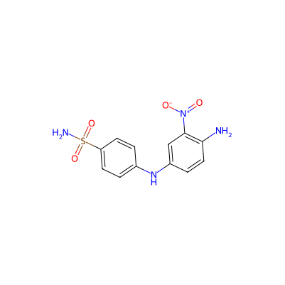 Nc1ccc(Nc2ccc(S(N)(=O)=O)cc2)cc1[N+](=O)[O-]